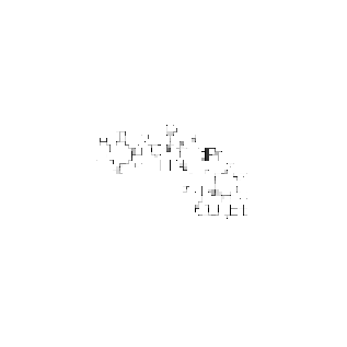 CCOC(=O)[C@@H](CCN[C@@H](CC(C)C)C(=O)OCc1ccccc1)c1ccccc1